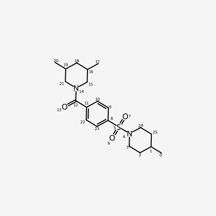 CC1CCN(S(=O)(=O)c2ccc(C(=O)N3CC(C)CC(C)C3)cc2)CC1